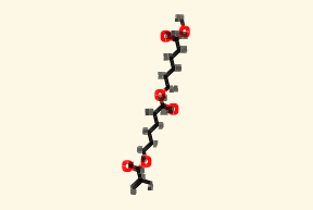 C=C(C)C(=O)OCCCCCC(=O)OCCCCCC(=O)OC